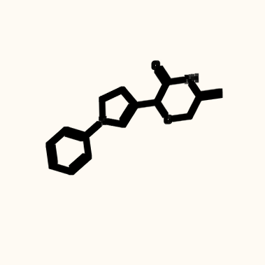 C=C1COC(C2=CN(c3ccccc3)CC2)C(=O)N1